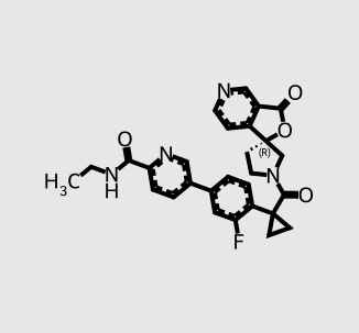 CCNC(=O)c1ccc(-c2ccc(C3(C(=O)N4CC[C@@]5(C4)OC(=O)c4cnccc45)CC3)c(F)c2)cn1